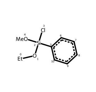 CCO[Si](Cl)(OC)c1ccccc1